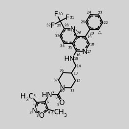 Cc1noc(C)c1NC(=O)N1CCC(CNc2ncc(-c3ccccc3)c3nc(C(F)(F)F)ccc23)CC1